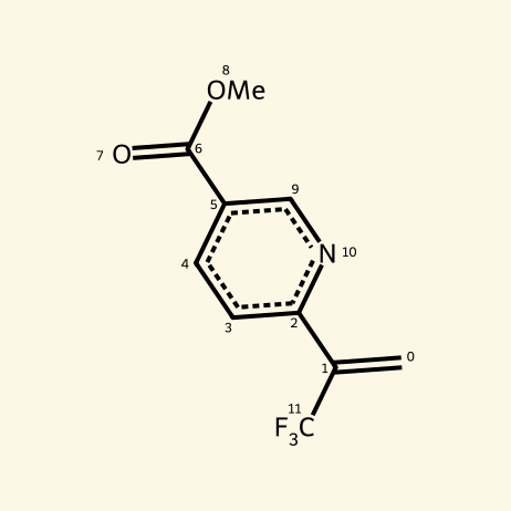 C=C(c1ccc(C(=O)OC)cn1)C(F)(F)F